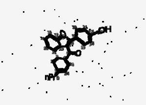 CCCc1ccc(C(=O)c2c(-c3ccc(O)cc3)oc3ccccc23)cc1